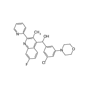 Cc1c(-c2ccccn2)nc2cc(F)ccc2c1C(O)c1cc(Cl)cc(N2CCOCC2)c1